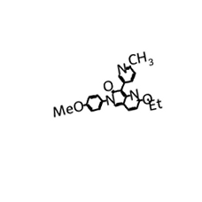 CCOc1ccc2cn(-c3ccc(OC)cc3)c(=O)c(-c3ccc(C)nc3)c2n1